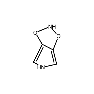 c1[nH]cc2c1ONO2